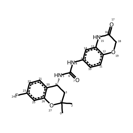 CC1(C)C[C@@H](NC(=O)Nc2ccc3c(c2)NC(=O)CO3)c2ccc(F)cc2O1